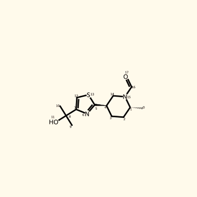 C[C@@H]1CC[C@@H](c2nc(C(C)(C)O)cs2)CN1C=O